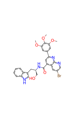 COc1cc(-c2cc(C(=O)N[C@@H](CO)Cc3c[nH]c4ccccc34)c3cc(Br)cnc3n2)cc(OC)c1OC